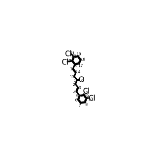 O=C(CC=Cc1cccc(Cl)c1Cl)CC=Cc1cccc(Cl)c1Cl